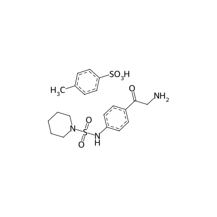 Cc1ccc(S(=O)(=O)O)cc1.NCC(=O)c1ccc(NS(=O)(=O)N2CCCCC2)cc1